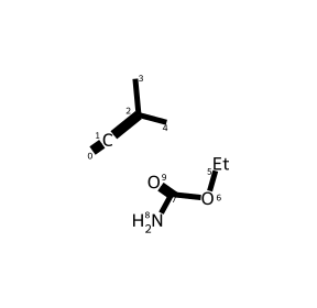 C=C=C(C)C.CCOC(N)=O